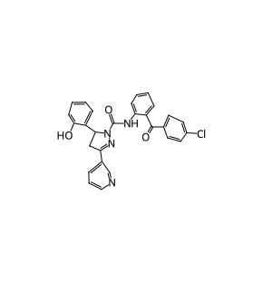 O=C(c1ccc(Cl)cc1)c1ccccc1NC(=O)N1N=C(c2cccnc2)CC1c1ccccc1O